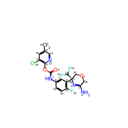 NC1=N[C@@](c2cc(NC(=O)Oc3ncc(C(F)(F)F)cc3Cl)ccc2F)(C(F)F)COC1